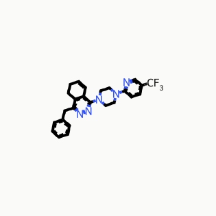 FC(F)(F)c1ccc(N2CCN(c3nnc(Cc4ccccc4)c4c3C=CCC4)CC2)nc1